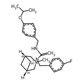 C=C(NCc1ccc(OC(C)C)cc1)N(Cc1ccc(F)cc1)[C@H]1[C@@H]2C[C@H]1CN(C)C2